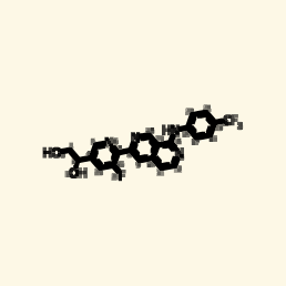 OC[C@H](O)c1cnc(-c2cc3ccnc(Nc4ccc(C(F)(F)F)cc4)c3cn2)c(F)c1